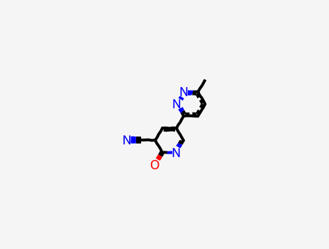 Cc1ccc(C2=CC(C#N)C(=O)N=C2)nn1